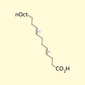 CCCCCCCCCC/C=C/CC/C=C/CCC(=O)O